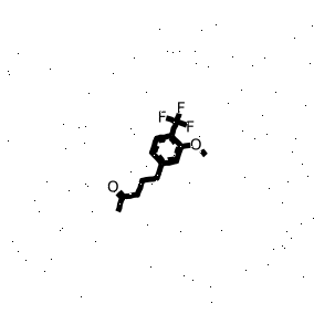 COc1cc(CCCC(C)=O)ccc1C(F)(F)F